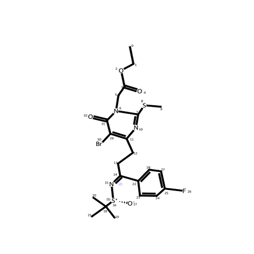 CCOC(=O)Cn1c(SC)nc(CC/C(=N/[S@+]([O-])C(C)(C)C)c2ccc(F)cc2)c(Br)c1=O